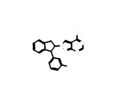 Nc1ncnc2nn(C3Cc4ccccc4C3c3cccc(F)c3)cc12